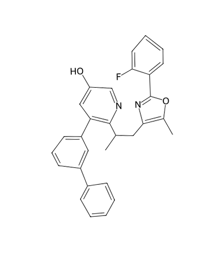 Cc1oc(-c2ccccc2F)nc1CC(C)c1ncc(O)cc1-c1cccc(-c2ccccc2)c1